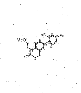 COCCN1C(=O)CCc2cc(-c3ccc(F)cc3F)ccc21